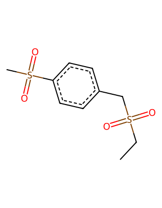 CCS(=O)(=O)Cc1ccc(S(C)(=O)=O)cc1